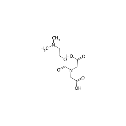 CN(C)CCOC(=O)N(CC(=O)O)CC(=O)O